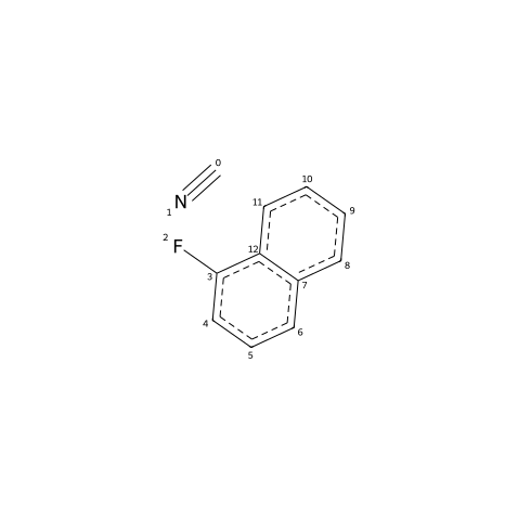 C#N.Fc1cccc2ccccc12